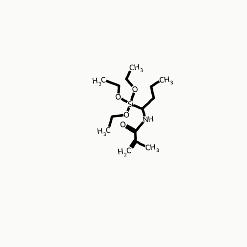 C=C(C)C(=O)NC(CCC)[Si](OCC)(OCC)OCC